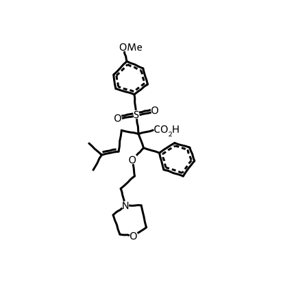 COc1ccc(S(=O)(=O)C(CC=C(C)C)(C(=O)O)C(OCCN2CCOCC2)c2ccccc2)cc1